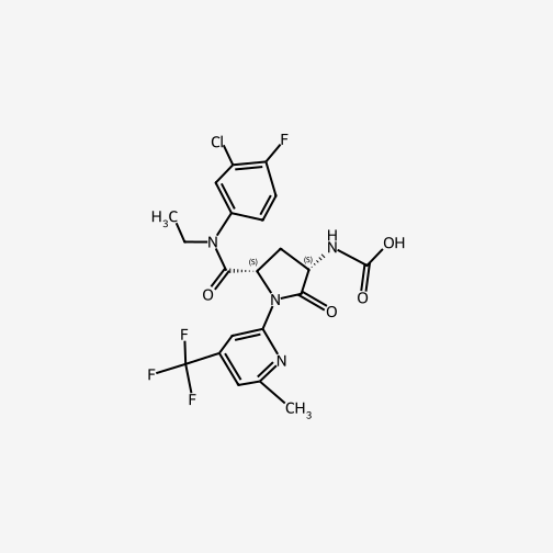 CCN(C(=O)[C@@H]1C[C@H](NC(=O)O)C(=O)N1c1cc(C(F)(F)F)cc(C)n1)c1ccc(F)c(Cl)c1